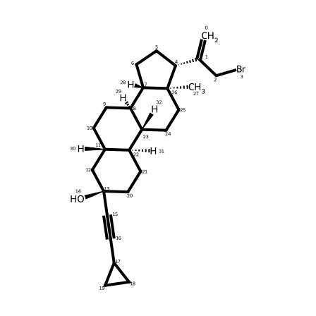 C=C(CBr)[C@H]1CC[C@H]2[C@@H]3CC[C@H]4C[C@@](O)(C#CC5CC5)CC[C@@H]4[C@H]3CC[C@]12C